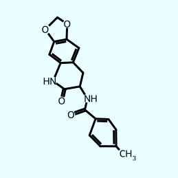 Cc1ccc(C(=O)NC2Cc3cc4c(cc3NC2=O)OCO4)cc1